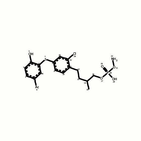 CC(=O)c1ccc(O)c(Sc2ccc(CCC(C)COP(=O)(O)ON)c(Cl)c2)c1